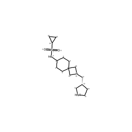 O=S(=O)(NC1CCC2(CC1)CN(C[C@@H]1CCNC1)C2)C1CC1